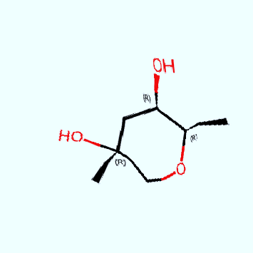 C[C@H]1OC[C@](C)(O)C[C@H]1O